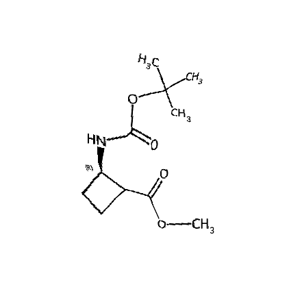 COC(=O)C1CC[C@H]1NC(=O)OC(C)(C)C